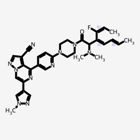 C/C=C/C=C(\C(F)=C/C)C(C(=O)N1CCN(c2ccc(-c3nc(-c4cnn(C)c4)cn4ncc(C#N)c34)cn2)CC1)N(C)C